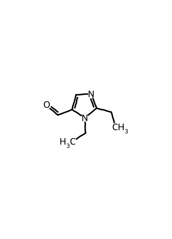 CCc1ncc(C=O)n1CC